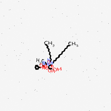 CCCCCCCCCCCCCCN(C(=O)CCCCCCCCCCC)[C@@H]1O[C@H](CO)[C@@H](O)[C@H](O)[C@H]1NC(=O)CN(C)C(=O)OCc1ccccc1